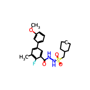 COc1cccc(-c2cc(C)c(F)c(C(=O)NNS(=O)(=O)CC3CCCCC3)c2)c1